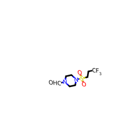 O=CN1CCN(S(=O)(=O)CCC(F)(F)F)CC1